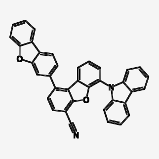 N#Cc1ccc(-c2ccc3c(c2)oc2ccccc23)c2c1oc1c(-n3c4ccccc4c4ccccc43)cccc12